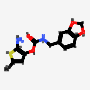 CCc1cc(OC(=O)NCc2ccc3c(c2)OCO3)c(N)s1